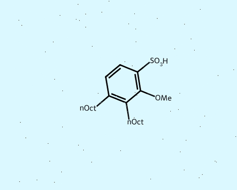 CCCCCCCCc1ccc(S(=O)(=O)O)c(OC)c1CCCCCCCC